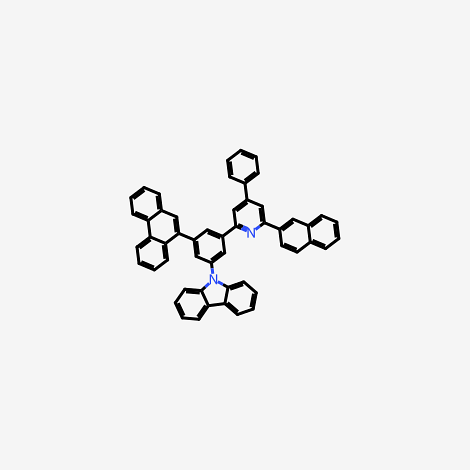 c1ccc(-c2cc(-c3cc(-c4cc5ccccc5c5ccccc45)cc(-n4c5ccccc5c5ccccc54)c3)nc(-c3ccc4ccccc4c3)c2)cc1